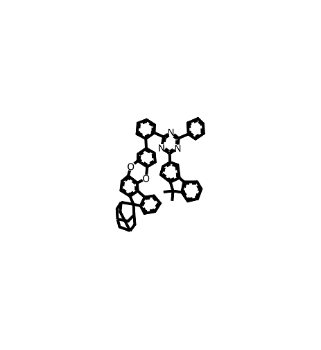 CC1(C)c2ccccc2-c2cc(-c3nc(-c4ccccc4)nc(-c4ccccc4-c4ccc5c(c4)Oc4ccc6c(c4O5)-c4ccccc4C64C5CC6CC(C5)CC4C6)n3)ccc21